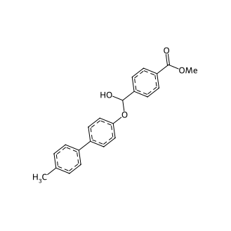 COC(=O)c1ccc(C(O)Oc2ccc(-c3ccc(C)cc3)cc2)cc1